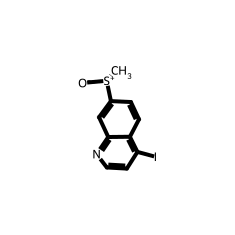 C[S+]([O-])c1ccc2c(I)ccnc2c1